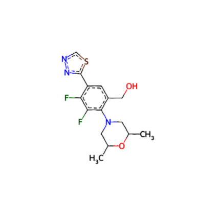 CC1CN(c2c(CO)cc(-c3nncs3)c(F)c2F)CC(C)O1